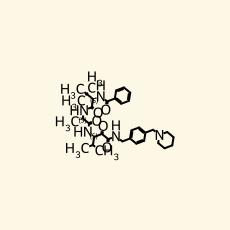 CC(C)[C@H](NC(=O)[C@H](C)NC(=O)[C@@H](NC(=O)c1ccccc1)C(C)(C)C)C(=O)C(=O)NCc1ccc(CN2CCCCC2)cc1